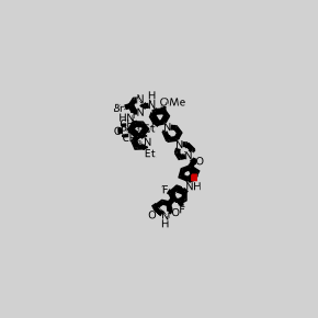 CCc1ccc2c(P(C)(C)=O)c(Nc3nc(Nc4cc(CC)c(N5CCC(N6CCN(C(=O)C78CCC(Nc9cc(F)c(C%10CCC(=O)NC%10=O)c(F)c9)(CC7)C8)CC6)CC5)cc4OC)ncc3Br)ccc2n1